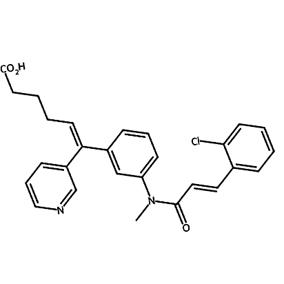 CN(C(=O)C=Cc1ccccc1Cl)c1cccc(C(=CCCCC(=O)O)c2cccnc2)c1